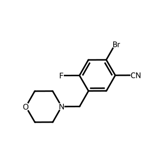 N#Cc1cc(CN2CCOCC2)c(F)cc1Br